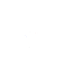 CCS(=O)(=O)[N]C(=O)c1ccccc1C(C)C